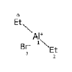 C[CH2][Al+][CH2]C.[Br-]